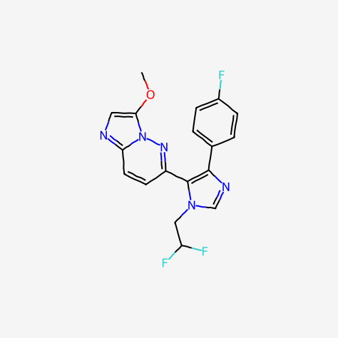 COc1cnc2ccc(-c3c(-c4ccc(F)cc4)ncn3CC(F)F)nn12